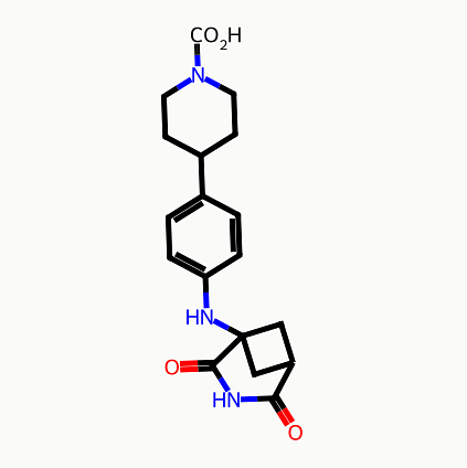 O=C1NC(=O)C2(Nc3ccc(C4CCN(C(=O)O)CC4)cc3)CC1C2